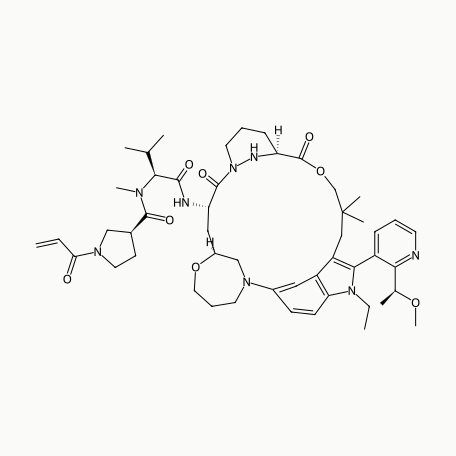 C=CC(=O)N1CC[C@H](C(=O)N(C)[C@H](C(=O)N[C@H]2C[C@H]3CN(CCCO3)c3ccc4c(c3)c(c(-c3cccnc3[C@H](C)OC)n4CC)CC(C)(C)COC(=O)[C@@H]3CCCN(N3)C2=O)C(C)C)C1